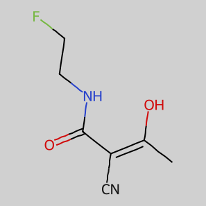 C/C(O)=C(\C#N)C(=O)NCCF